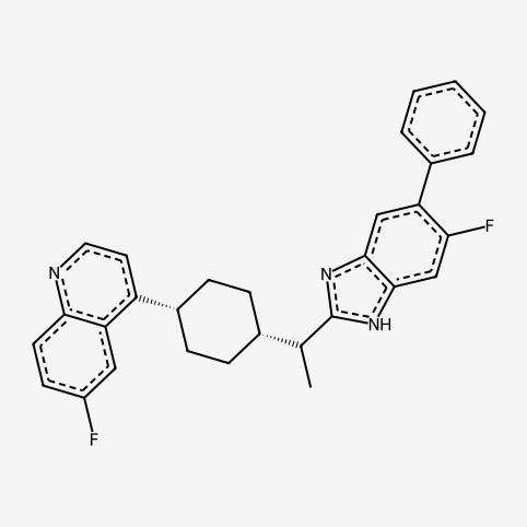 CC(c1nc2cc(-c3ccccc3)c(F)cc2[nH]1)[C@H]1CC[C@@H](c2ccnc3ccc(F)cc32)CC1